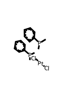 CP(C)c1ccccc1.CP(C)c1ccccc1.[Cl][Pt][Cl]